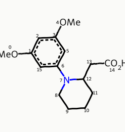 COc1cc(OC)cc(N2CCCCC2CC(=O)O)c1